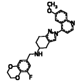 COc1ccc2nccc(-n3cc4c(n3)CCC(NCc3cc(F)c5c(c3)OCCO5)C4)c2c1